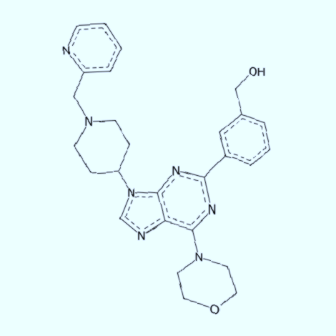 OCc1cccc(-c2nc(N3CCOCC3)c3ncn(C4CCN(Cc5ccccn5)CC4)c3n2)c1